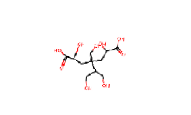 O=C(O)C(O)CC(CO)(CC(O)C(=O)O)C(CO)CO